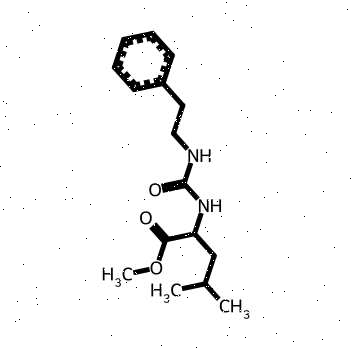 COC(=O)C(CC(C)C)NC(=O)NCCc1ccccc1